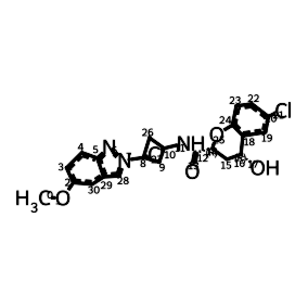 COc1ccc2nn(C34CC(NC(=O)[C@H]5C[C@@H](O)c6cc(Cl)ccc6O5)(C3)C4)cc2c1